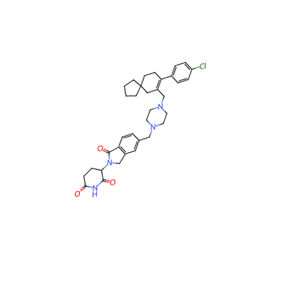 O=C1CCC(N2Cc3cc(CN4CCN(CC5=C(c6ccc(Cl)cc6)CCC6(CCCC6)C5)CC4)ccc3C2=O)C(=O)N1